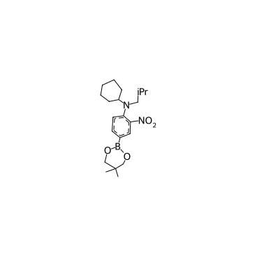 CC(C)CN(c1ccc(B2OCC(C)(C)CO2)cc1[N+](=O)[O-])C1CCCCC1